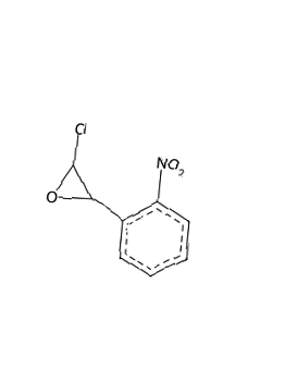 O=[N+]([O-])c1ccccc1C1OC1Cl